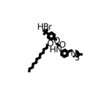 Br.CCCCCCCCCCCCOc1cc(C(C)(C)C)ccc1OCC(=O)Nc1cccc(CN2C=C(C)SC2)c1